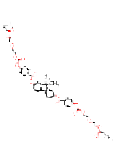 C=CC(=O)OCCOCCOC(=O)Oc1ccc(C(=O)Oc2ccc3c(c2)C(C)(C)c2cc(OC(=O)c4ccc(OC(=O)OCCOCCOC(=O)C=C)cc4)ccc2-3)cc1